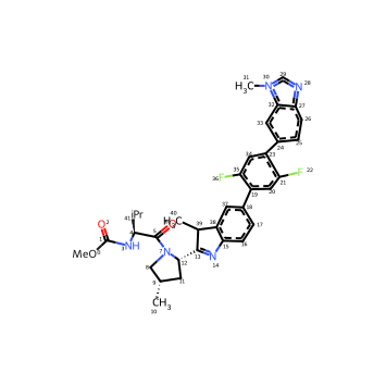 COC(=O)N[C@H](C(=O)N1C[C@@H](C)C[C@H]1C1=Nc2ccc(-c3cc(F)c(-c4ccc5ncn(C)c5c4)cc3F)cc2C1C)C(C)C